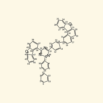 c1ccc(-c2ccc(-c3nc(-c4ccc(-c5ccc6ccc7oc8ccccc8c7c6c5)cc4)nc(-c4cccc5oc6ccccc6c45)n3)cc2)cc1